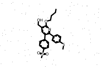 CCCCOc1nc(-c2ccc(SC)cc2)c(-c2ccc(S(C)(=O)=O)cc2)cc1CO